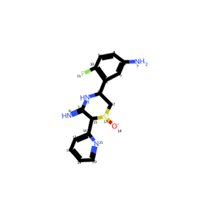 N=C1NC(c2cc(N)ccc2F)C[S+]([O-])C1c1ccccn1